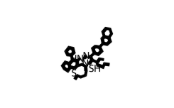 C=C/C=C\C(=C/C)c1c(S)nc(Nc2c3c(c4ccccc4c2-c2ccccc2)SC(=C)CC/C=C\C3)nc1-c1ccc(-c2ccc3c(c2)C=CCC3)cc1